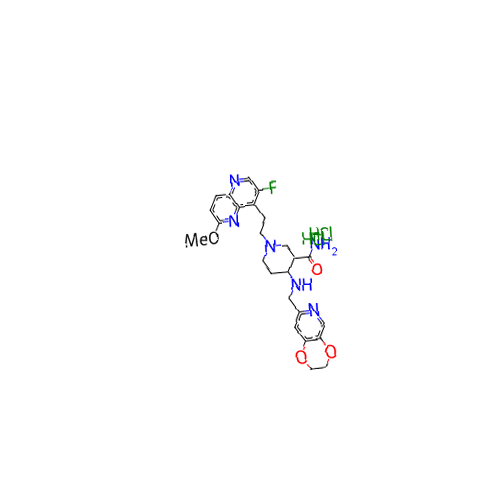 COc1ccc2ncc(F)c(CCN3CCC(NCc4cc5c(cn4)OCCO5)C(C(N)=O)C3)c2n1.Cl.Cl